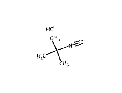 Cl.[C-]#[N+]C(C)(C)C